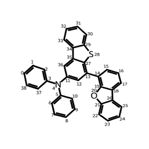 c1ccc(N(c2ccccc2)c2cc(-c3cccc4c3oc3ccccc34)c3sc4ccccc4c3c2)cc1